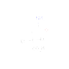 CCC(CC)(CC(N)=O)C(=O)O